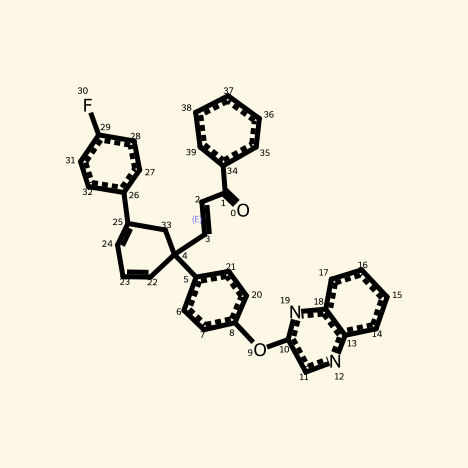 O=C(/C=C/C1(c2ccc(Oc3cnc4ccccc4n3)cc2)C=CC=C(c2ccc(F)cc2)C1)c1ccccc1